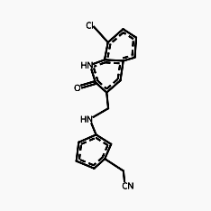 N#CCc1cccc(NCc2cc3cccc(Cl)c3[nH]c2=O)c1